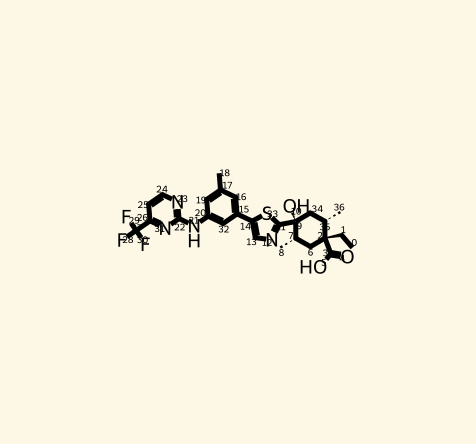 CC[C@@]1(C(=O)O)C[C@H](C)[C@@](O)(c2ncc(-c3cc(C)cc(Nc4nccc(C(F)(F)F)n4)c3)s2)C[C@@H]1C